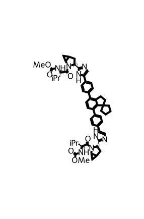 COC(=O)N[C@H](C(=O)N1C2CC2C[C@H]1c1ncc(-c2ccc(-c3ccc(-c4ccc(-c5cnc([C@@H]6CC7CC7N6C(=O)[C@@H](NC(=O)OC)C(C)C)[nH]5)cc4)c4c3CCC43CCCC3)cc2)[nH]1)C(C)C